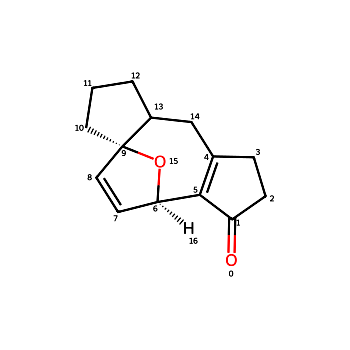 O=C1CCC2=C1[C@H]1C=C[C@]3(CCCC3C2)O1